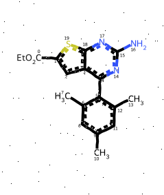 CCOC(=O)c1cc2c(-c3c(C)cc(C)cc3C)nc(N)nc2s1